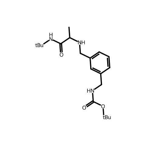 CC(NCc1cccc(CNC(=O)OC(C)(C)C)c1)C(=O)NC(C)(C)C